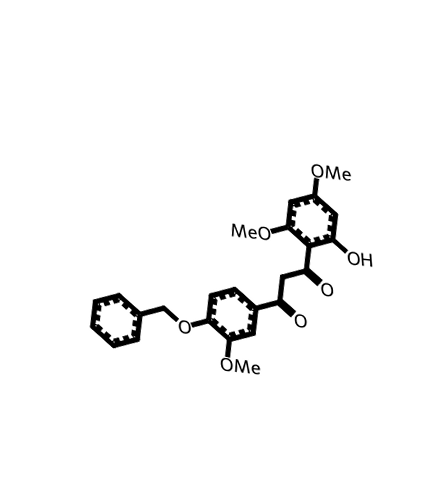 COc1cc(O)c(C(=O)CC(=O)c2ccc(OCc3ccccc3)c(OC)c2)c(OC)c1